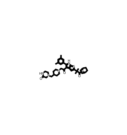 Cc1cc(C)cc(-c2[nH]c3sc(C(C)(C)C(=O)N4C5CCC4CC5)cc3c2C(=O)CN2CCC(CN3CCNC(=O)C3)CC2)c1